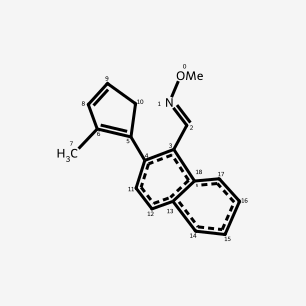 CON=Cc1c(C2=C(C)C=CC2)ccc2ccccc12